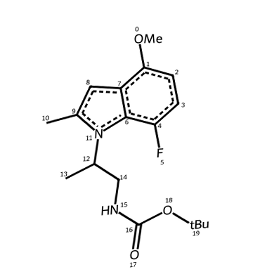 COc1ccc(F)c2c1cc(C)n2C(C)CNC(=O)OC(C)(C)C